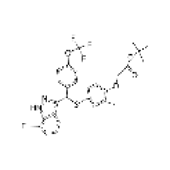 Cc1cc(SC(c2ccc(OC(F)(F)F)cc2)c2n[nH]c3c(F)cccc23)ccc1OCC(=O)OC(C)(C)C